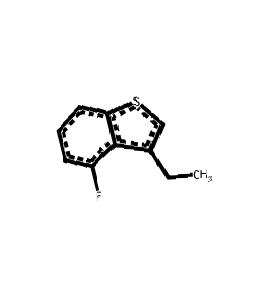 CCc1csc2cccc(F)c12